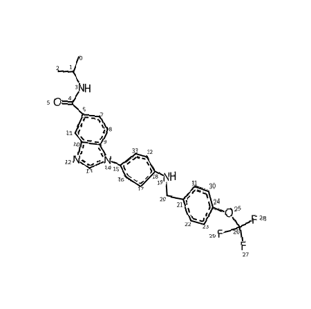 CC(C)NC(=O)c1ccc2c(c1)ncn2-c1ccc(NCc2ccc(OC(F)(F)F)cc2)cc1